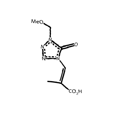 COCn1nnn(/C=C(\C)C(=O)O)c1=O